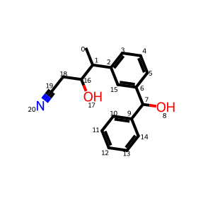 CC(c1cccc(C(O)c2ccccc2)c1)C(O)CC#N